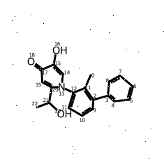 Cc1c(-c2ccccc2)cccc1-n1cc(O)c(=O)cc1C(C)O